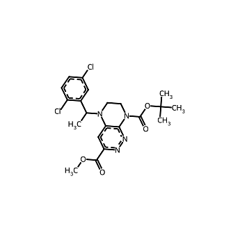 COC(=O)c1cc2c(nn1)N(C(=O)OC(C)(C)C)CCN2C(C)c1cc(Cl)ccc1Cl